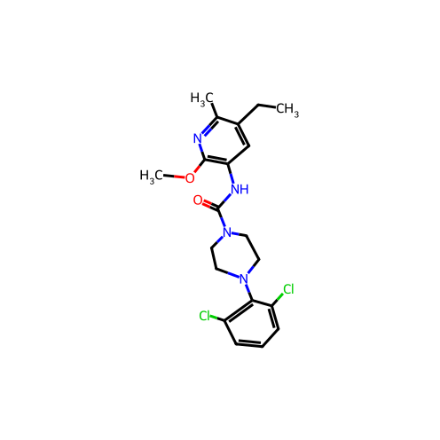 CCc1cc(NC(=O)N2CCN(c3c(Cl)cccc3Cl)CC2)c(OC)nc1C